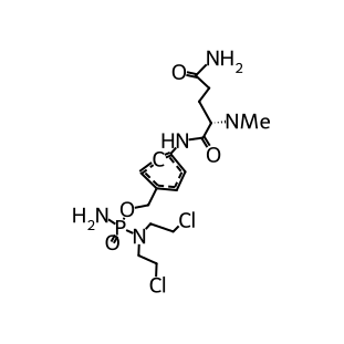 CN[C@@H](CCC(N)=O)C(=O)Nc1ccc(COP(N)(=O)N(CCCl)CCCl)cc1